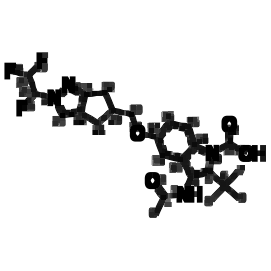 CC(=O)Nc1c(C(C)(C)C)n(C(=O)O)c2ccc(OCC3Cc4cn(C(F)C(F)F)nc4C3)cc12